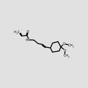 C=CC(=O)NCCC=CC1CCC(OC)(OC)CC1